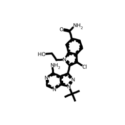 CC(C)(C)n1nc(-c2c(Cl)c3ccc(C(N)=O)cc3n2CCO)c2c(N)ncnc21